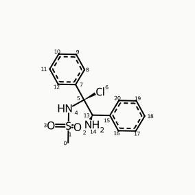 CS(=O)(=O)N[C@](Cl)(c1ccccc1)[C@H](N)c1ccccc1